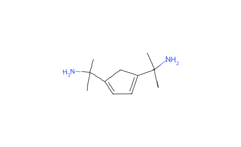 CC(C)(N)C1=CC=C(C(C)(C)N)C1